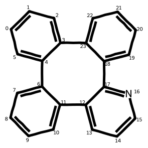 c1ccc2c(c1)-c1ccccc1-c1cccnc1-c1ccccc1-2